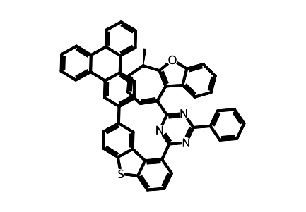 C[C@@H]1C=CC=C(c2nc(-c3ccccc3)nc(-c3cccc4sc5ccc(-c6ccc7c8ccccc8c8ccccc8c7c6)cc5c34)n2)c2c1oc1ccccc21